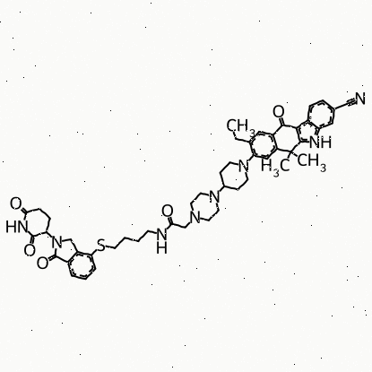 CCc1cc2c(cc1N1CCC(N3CCN(CC(=O)NCCCCSc4cccc5c4CN(C4CCC(=O)NC4=O)C5=O)CC3)CC1)C(C)(C)c1[nH]c3cc(C#N)ccc3c1C2=O